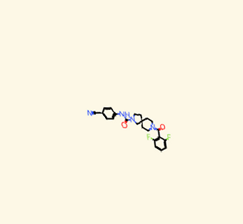 N#Cc1ccc(NC(=O)N2CCC3(CCN(C(=O)c4c(F)cccc4F)CC3)C2)cc1